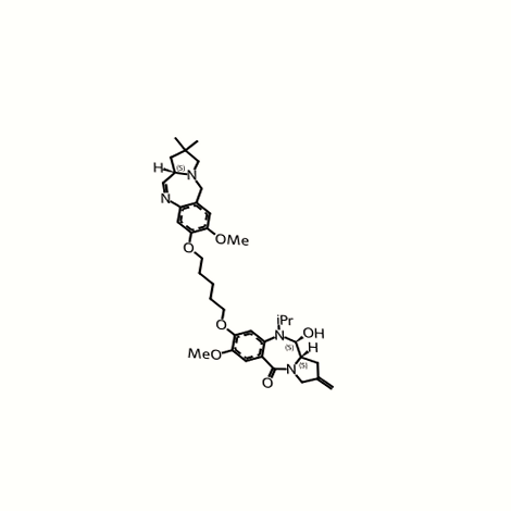 C=C1C[C@H]2[C@H](O)N(C(C)C)c3cc(OCCCCCOc4cc5c(cc4OC)CN4CC(C)(C)C[C@H]4C=N5)c(OC)cc3C(=O)N2C1